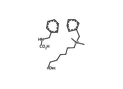 CCCCCCCCCCCCCCCC[N+](C)(C)Cc1ccccc1.O=C(O)NCc1ccccc1